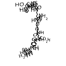 NC(=O)C(CCCCNC(=O)C(CS)NC(=O)C(CC(=O)O)NC(=O)C1CCCN1)NC(=O)COCCOCCNC(=O)CCC(NC(=O)c1ccc(NCC2=NC3C(=O)NC(N)=NC3N=C2)cc1)C(=O)O